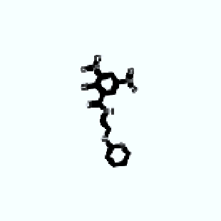 O=C(NCCOC1CCCCO1)c1cc([N+](=O)[O-])cc([N+](=O)[O-])c1Cl